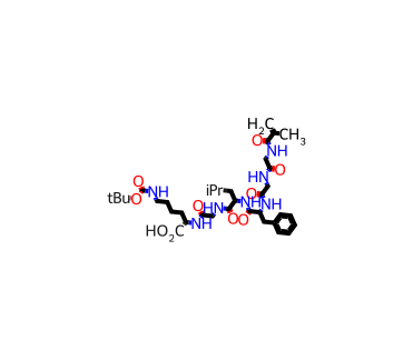 C=C(C)C(=O)NCC(=O)NCC(=O)NC(Cc1ccccc1)C(=O)NC(CC(C)C)C(=O)NCC(=O)NC(CCCCNC(=O)OC(C)(C)C)C(=O)O